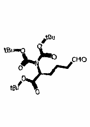 CC(C)(C)OC(=O)[C@H](CCCC=O)N(C(=O)OC(C)(C)C)C(=O)OC(C)(C)C